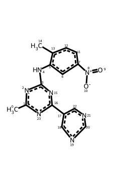 Cc1nc(Nc2cc([N+](=O)[O-])ccc2C)nc(-c2cncnc2)n1